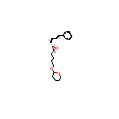 C(=C/[C@@H]1O[C@H]1CCCCOC1CCCCO1)/C=C/c1ccccc1